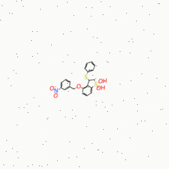 O=[N+]([O-])c1cccc(COc2cccc3c2C(Sc2ccccc2)CS3(O)O)c1